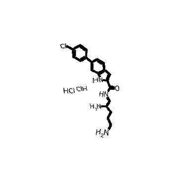 Cl.Cl.NCCCC(N)CNC(=O)c1cc2ccc(-c3ccc(Cl)cc3)cc2[nH]1